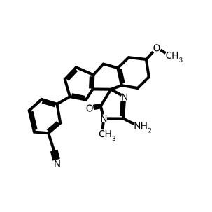 COC1CCC2=C(Cc3ccc(-c4cccc(C#N)c4)cc3C23N=C(N)N(C)C3=O)C1